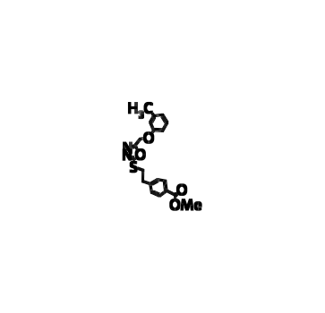 COC(=O)c1ccc(CCSc2nnc(COc3cccc(C)c3)o2)cc1